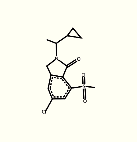 CC(C1CC1)N1Cc2cc(Cl)cc(S(C)(=O)=O)c2C1=O